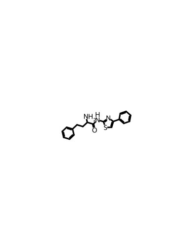 NC(CCc1ccccc1)C(=O)Nc1nc(-c2ccccc2)cs1